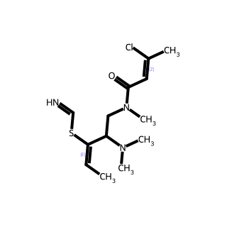 C/C=C(/SC=N)C(CN(C)C(=O)/C=C(/C)Cl)N(C)C